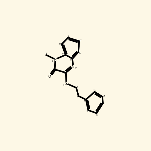 Cn1c(=O)c(SCCc2ccccc2)nc2ccccc21